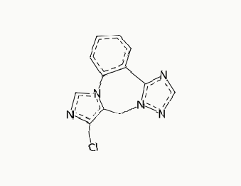 Clc1ncn2c1Cn1ncnc1-c1ccccc1-2